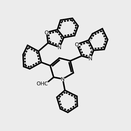 O=CC1C(c2ccccc2-c2nc3ccccc3o2)=CC(c2nc3ccccc3o2)=CN1c1ccccc1